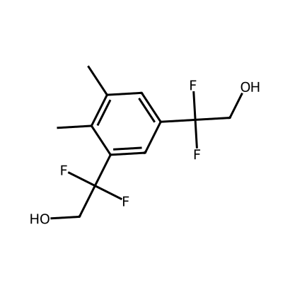 Cc1cc(C(F)(F)CO)cc(C(F)(F)CO)c1C